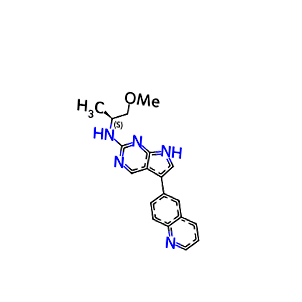 COC[C@H](C)Nc1ncc2c(-c3ccc4ncccc4c3)c[nH]c2n1